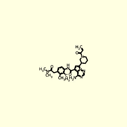 C=CC(=O)N1CCCC(c2cc(C(=O)Nc3ccc(CC(=O)N(C)C)c(C)c3C)c3c(N)ncnn23)C1